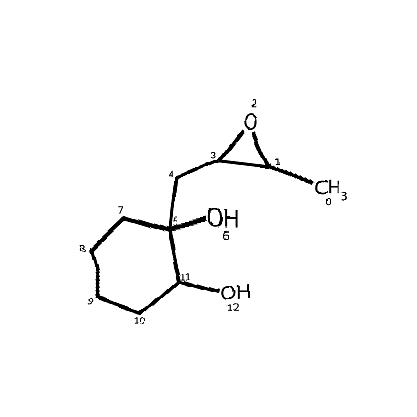 CC1OC1CC1(O)CCCCC1O